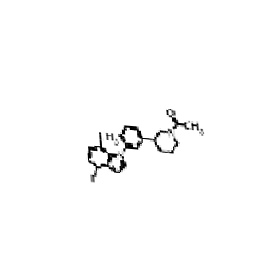 CC(=O)N1CCCC(c2cccc(-n3ccc4c(F)ccc(C)c43)c2)C1